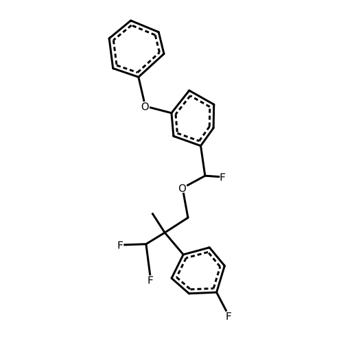 CC(COC(F)c1cccc(Oc2ccccc2)c1)(c1ccc(F)cc1)C(F)F